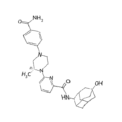 C[C@@H]1CN(c2ccc(C(N)=O)cc2)CCN1c1cccc(C(=O)NC2C3CC4CC2CC(O)(C4)C3)n1